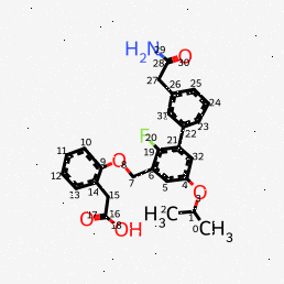 CC(C)Oc1cc(COc2ccccc2CC(=O)O)c(F)c(-c2cccc(CC(N)=O)c2)c1